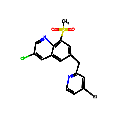 CCc1ccnc(Cc2cc(S(C)(=O)=O)c3ncc(Cl)cc3c2)c1